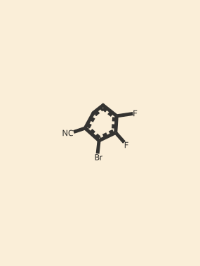 N#Cc1ccc(F)c(F)c1Br